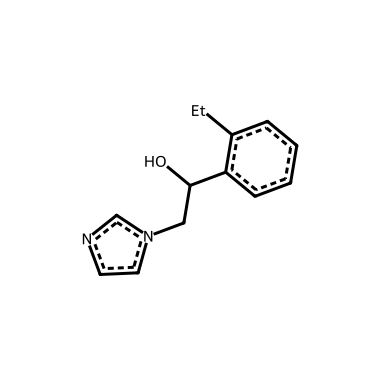 CCc1ccccc1C(O)Cn1ccnc1